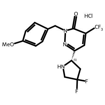 COc1ccc(Cn2nc([C@@H]3CC(F)(F)CN3)cc(C(F)(F)F)c2=O)cc1.Cl